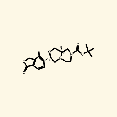 Cc1c([C@H]2CN3CCN(C(=O)OC(C)(C)C)C[C@@H]3CO2)ccc2c1COC2=O